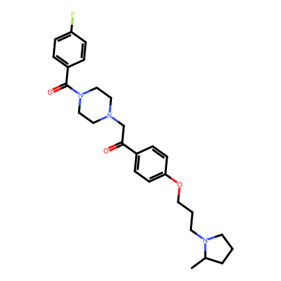 CC1CCCN1CCCOc1ccc(C(=O)CN2CCN(C(=O)c3ccc(F)cc3)CC2)cc1